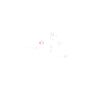 O=C([O-])C(S)C(S)C(=O)O.O=S([O-])O.[Na+].[Na+]